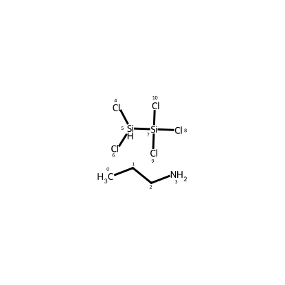 CCCN.Cl[SiH](Cl)[Si](Cl)(Cl)Cl